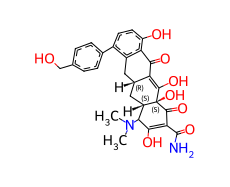 CN(C)C1C(O)=C(C(N)=O)C(=O)[C@@]2(O)C(O)=C3C(=O)c4c(O)ccc(-c5ccc(CO)cc5)c4C[C@H]3C[C@@H]12